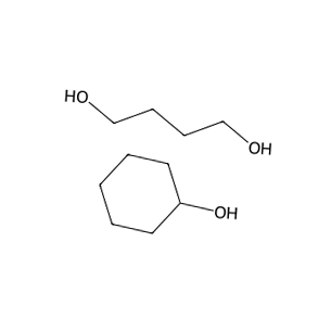 OC1CCCCC1.OCCCCO